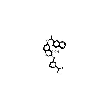 CC(Oc1ccc2c(c1)[C@@H](O)[C@@H](Cc1cccc(C(=O)O)c1)CO2)c1ccc2ccccc2n1